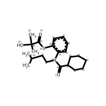 CC(C)CCN(C(=O)C1CCCCC1)c1ccccc1SC(=O)C(C)(C)O